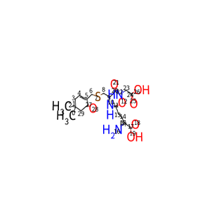 CC1(C)CC=C(CSCC(NC(=O)CC[C@H](N)C(=O)O)C(=O)NCC(=O)O)C(=O)C1